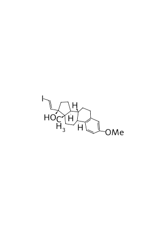 COc1ccc2c(c1)CC[C@@H]1[C@@H]2CC[C@@]2(C)[C@H]1CC[C@@]2(O)C=CI